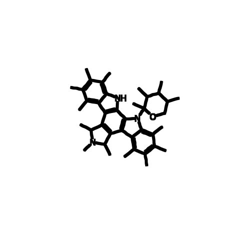 Cc1c(C)c(C)c2c([nH]c3c2c2c(c4c5c(C)c(C)c(C)c(C)c5n(C5(C)OCC(C)C(C)C5C)c34)C(C)N(C)C2C)c1C